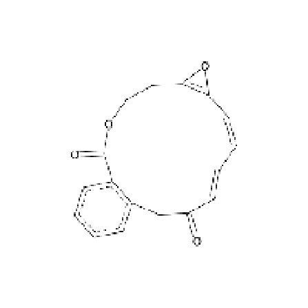 O=C1/C=C/C=C\C2=C(CCOC(=O)c3ccccc3C1)O2